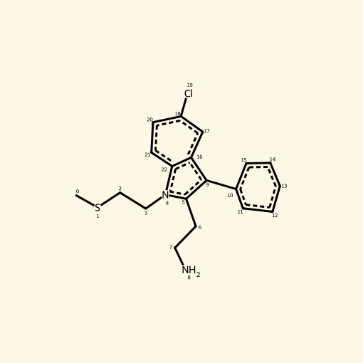 CSCCn1c(CCN)c(-c2ccccc2)c2cc(Cl)ccc21